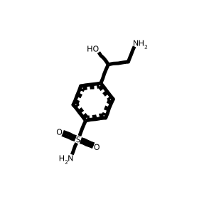 NCC(O)c1ccc(S(N)(=O)=O)cc1